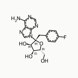 Nc1ncnc2c1ncn2[C@]1(Cc2ccc(F)cc2)O[C@H](CO)[C@@H](O)[C@H]1O